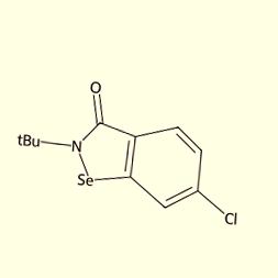 CC(C)(C)n1[se]c2cc(Cl)ccc2c1=O